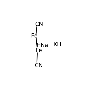 N#[C][Fe][Fe][C]#N.[KH].[NaH]